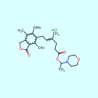 COc1c(C)c2c(c(OC(C)=O)c1C/C=C(\C)CCC(=O)OC(C)N1CCOCC1)C(=O)OC2.Cl